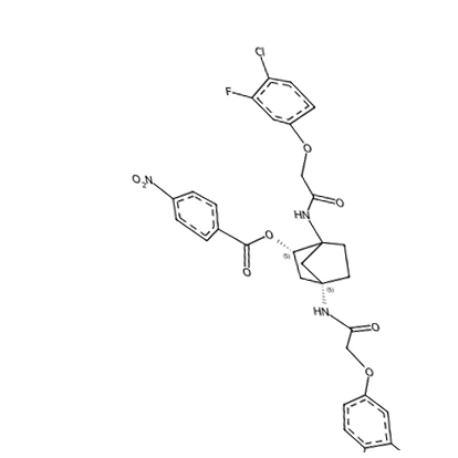 O=C(COc1ccc(Cl)c(F)c1)NC12CC[C@@](NC(=O)COc3ccc(Cl)c(F)c3)(C[C@@H]1OC(=O)c1ccc([N+](=O)[O-])cc1)C2